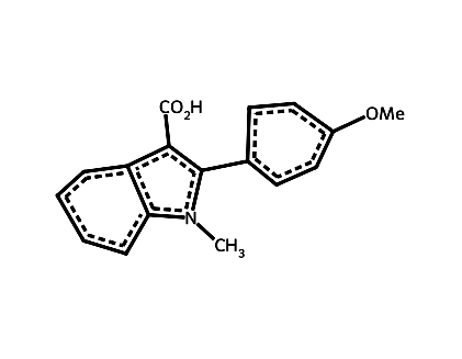 COc1ccc(-c2c(C(=O)O)c3ccccc3n2C)cc1